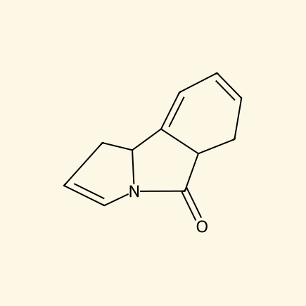 O=C1C2CC=CC=C2C2CC=CN12